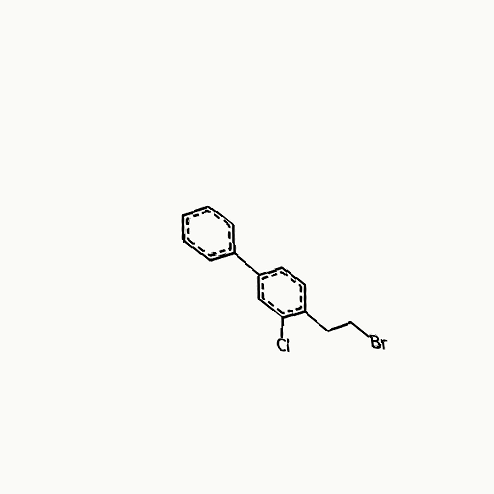 Clc1cc(-c2ccccc2)ccc1CCBr